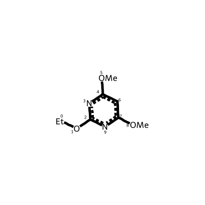 CCOc1nc(OC)cc(OC)n1